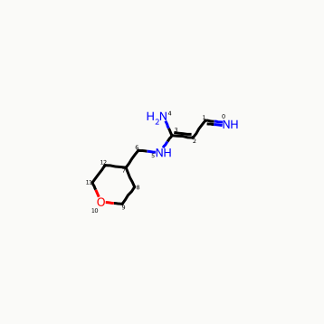 N=C/C=C(\N)NCC1CCOCC1